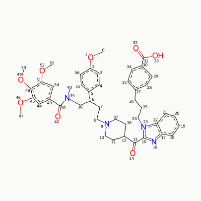 COc1ccc(C(CCN2CCC(C(=O)c3nc4ccccc4n3CCCc3ccc(C(=O)O)cc3)CC2)CN(C)C(=O)c2cc(OC)c(OC)c(OC)c2)cc1